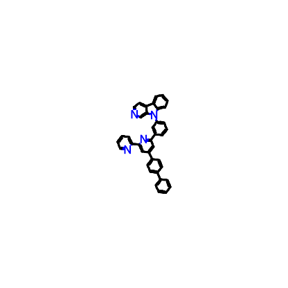 c1ccc(-c2ccc(-c3cc(-c4cccc(-n5c6ccccc6c6ccncc65)c4)nc(-c4ccccn4)c3)cc2)cc1